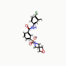 Cc1cc(NC(=O)c2cccc(S(=O)(=O)N3CC4(COC4)C3)c2)ccc1F